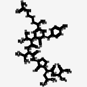 CC(C)C[C@H](C(=O)N[C@H](C)C(N)=O)N1CC[C@@H](NC(=O)[C@H](NC(=O)[C@H](NC(=O)[C@@H](Cc2ccc(O)cc2)NC(=O)[C@H](N)CCCNC(=N)N)[C@@H](C)O)C(C)C)C1=O